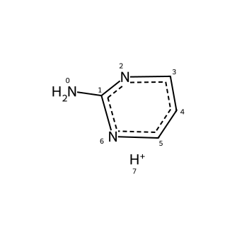 Nc1ncccn1.[H+]